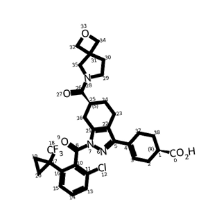 O=C(O)[C@H]1CC=C(c2nn(C(=O)c3c(Cl)cccc3C3(C(F)(F)F)CC3)c3c2CC[C@H](C(=O)N2CCC4(COC4)C2)C3)CC1